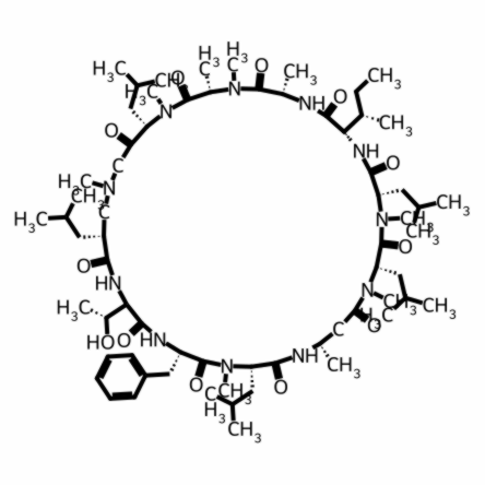 CC[C@H](C)[C@@H]1NC(=O)[C@H](CC(C)C)N(C)C(=O)[C@H](CC(C)C)N(C)C(=O)C[C@H](C)NC(=O)[C@H](CC(C)C)N(C)C(=O)[C@H](Cc2ccccc2)NC(=O)C([C@@H](C)O)NC(=O)[C@H](CC(C)C)CN(C)CC(=O)[C@H](CC(C)C)N(C)C(=O)[C@H](C)N(C)C(=O)[C@H](C)NC1=O